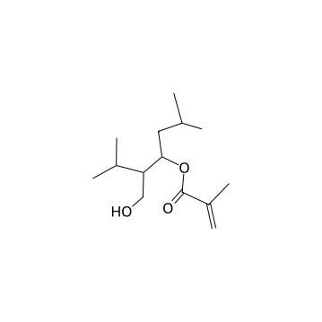 C=C(C)C(=O)OC(CC(C)C)C(CO)C(C)C